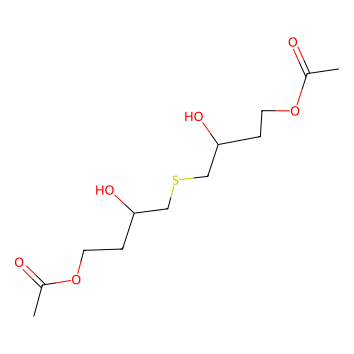 CC(=O)OCCC(O)CSCC(O)CCOC(C)=O